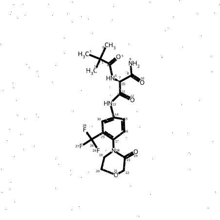 CC(C)(C)C(=O)N[C@@H](C(N)=O)C(=O)Nc1ccc(N2CCOCC2=O)c(C(F)(F)F)c1